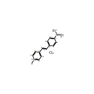 CCN(CC)c1ccc(/C=C/c2cc[n+](C)cc2)cc1.[Cl-]